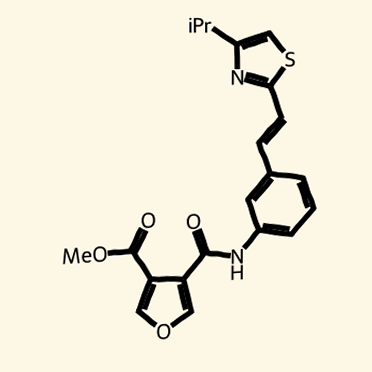 COC(=O)c1cocc1C(=O)Nc1cccc(C=Cc2nc(C(C)C)cs2)c1